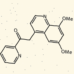 COc1cc(OC)c2nccc(CC(=O)c3ccccn3)c2c1